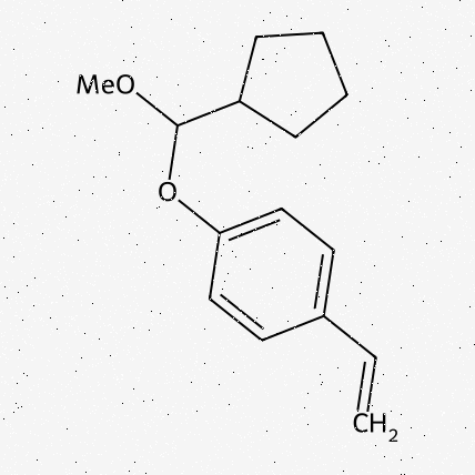 C=Cc1ccc(OC(OC)C2CCCC2)cc1